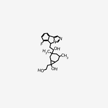 CC1CC2C(CC(C)(C(O)CC3c4c(F)cccc4-c4cncn43)C1)C2(O)CCO